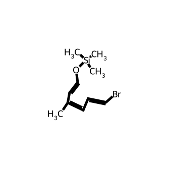 CC(C=CO[Si](C)(C)C)=CC=CBr